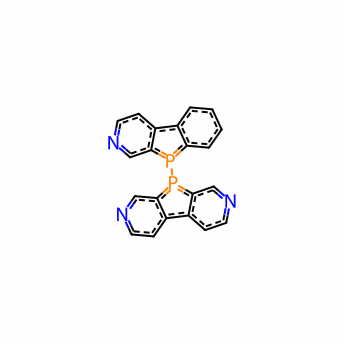 c1ccc2c(c1)c1ccncc1p2-p1c2cnccc2c2ccncc21